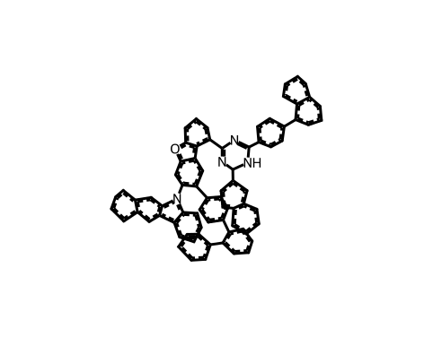 c1ccc(-c2ccccc2-c2ccc(-c3cc4c(cc3-n3c5ccccc5c5cc6ccccc6cc53)oc3cccc(C5=NC(c6ccc7ccccc7c6)NC(c6ccc(-c7cccc8ccccc78)cc6)=N5)c34)cc2)cc1